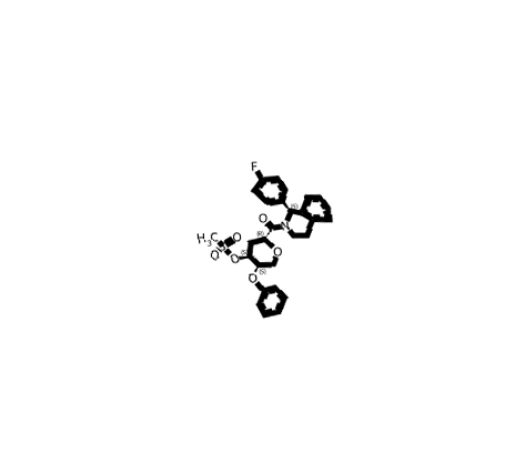 CS(=O)(=O)O[C@H]1C[C@H](C(=O)N2CCc3ccccc3[C@@H]2c2ccc(F)cc2)OC[C@@H]1Oc1ccccc1